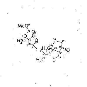 COCO[C@]1(C)C=C(CC[C@@H](C)[C@H]2CCC3C(=O)CCC[C@]32C)OC1=O